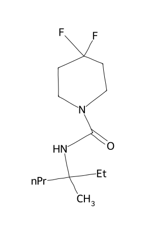 CCCC(C)(CC)NC(=O)N1CCC(F)(F)CC1